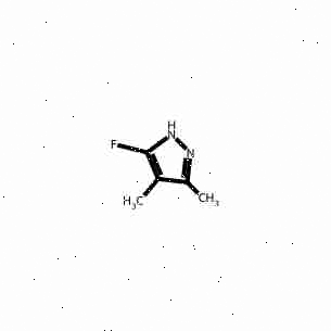 Cc1n[nH]c(F)c1C